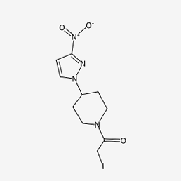 O=C(CI)N1CCC(n2ccc([N+](=O)[O-])n2)CC1